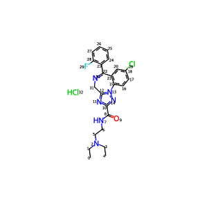 CCN(CC)CCNC(=O)c1nc2n(n1)-c1ccc(Cl)cc1C(c1ccccc1F)=NC2.Cl